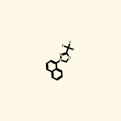 FC(F)(F)C1=NN(c2cccc3ccccc23)CO1